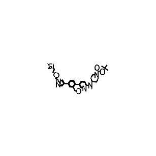 CN(c1ccc2c(n1)OCc1cc(-c3cnn(COCC[Si](C)(C)C)c3)ccc1-2)C1CCN(C(=O)OC(C)(C)C)CC1